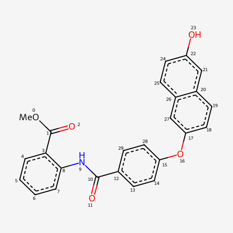 COC(=O)c1ccccc1NC(=O)c1ccc(Oc2ccc3cc(O)ccc3c2)cc1